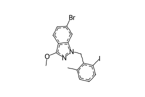 COc1nn(Cc2c(C)cccc2I)c2cc(Br)ccc12